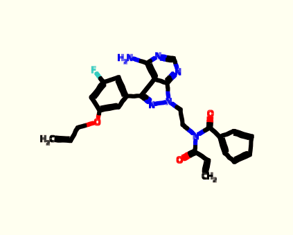 C=CCOc1cc(F)cc(-c2nn(CCN(C(=O)C=C)C(=O)c3ccccc3)c3ncnc(N)c23)c1